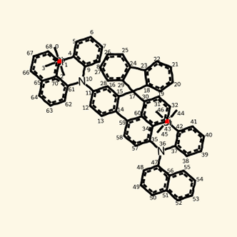 C[Si](C)(C)c1ccccc1N(c1ccc2c(c1)C1(c3ccccc3-c3ccccc31)c1cccc3c(N(c4ccccc4[Si](C)(C)C)c4cccc5ccccc45)ccc-2c13)c1cccc2ccccc12